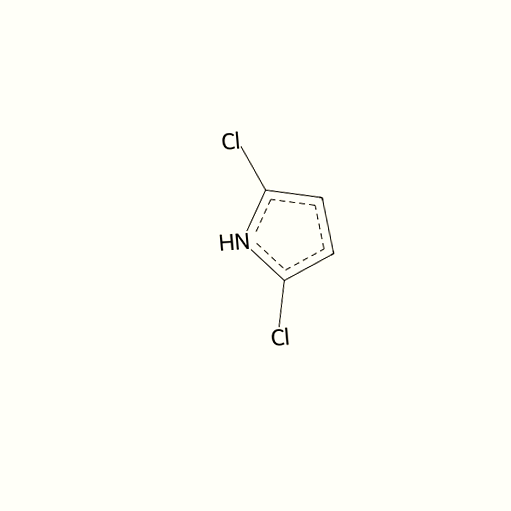 Clc1ccc(Cl)[nH]1